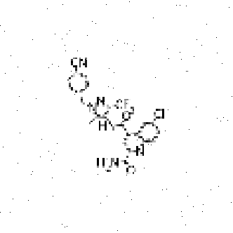 Cc1c(NC(=O)c2cc(C(N)=O)nc3ccc(Cl)cc23)c(C(F)(F)F)nn1Cc1ccc(C#N)cc1